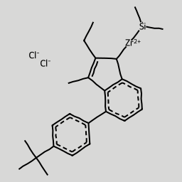 CCC1=C(C)c2c(-c3ccc(C(C)(C)C)cc3)cccc2[CH]1[Zr+2][Si](C)C.[Cl-].[Cl-]